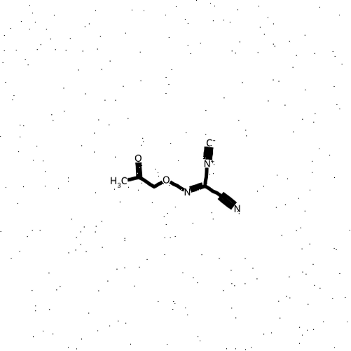 [C-]#[N+]C(C#N)=NOCC(C)=O